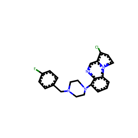 Fc1ccc(CN2CCN(c3cccc4c3ncc3c(Cl)ccn34)CC2)cc1